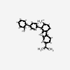 Cc1ccc2c(oc3nc(C(C)C)ccc32)c1-c1ccc(-c2ccccc2F)cn1